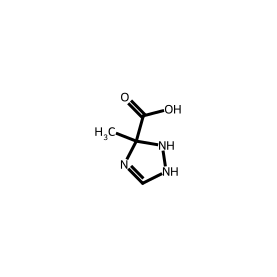 CC1(C(=O)O)N=CNN1